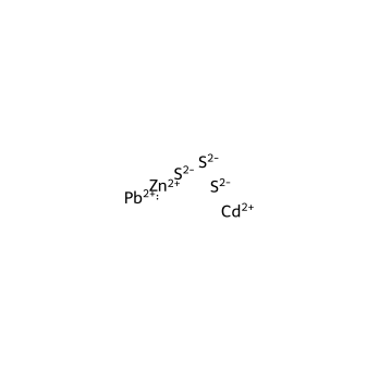 [Cd+2].[Pb+2].[S-2].[S-2].[S-2].[Zn+2]